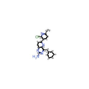 CC(C)c1ccc(-c2ccc3nc(N)nc(Cc4ccccc4)c3n2)c(Cl)n1